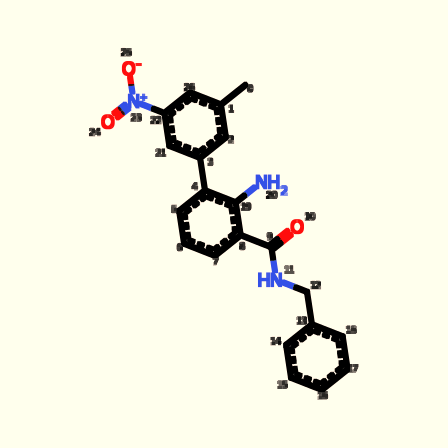 Cc1cc(-c2cccc(C(=O)NCc3ccccc3)c2N)cc([N+](=O)[O-])c1